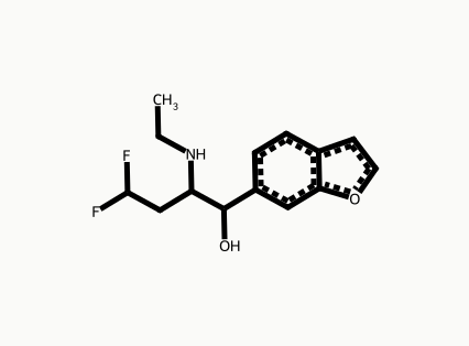 CCNC(CC(F)F)C(O)c1ccc2ccoc2c1